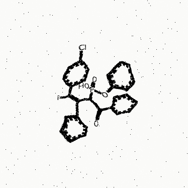 O=C(c1ccccc1)C(/C(=C(/F)c1ccc(Cl)cc1)c1ccccc1)P(=O)(O)Oc1ccccc1